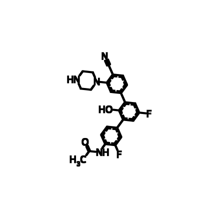 CC(=O)Nc1ccc(-c2cc(F)cc(-c3ccc(C#N)c(N4CCNCC4)c3)c2O)cc1F